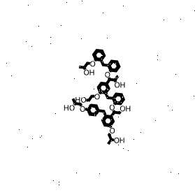 CC(O)COc1ccc(Cc2ccc(OCC(C)O)cc2C(CO)Oc2ccccc2Cc2cc(C(Oc3ccccc3Cc3ccccc3OCC(C)O)C(C)O)ccc2OCCO)cc1